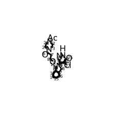 CC(=O)N1CCN(C(=O)CCOC[C@H]2c3ccccc3CN2c2cn[nH]c(=O)c2Cl)CC1